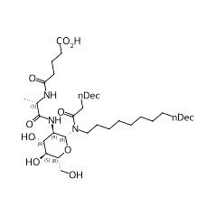 CCCCCCCCCCCCCCCCCCN(C(=O)CCCCCCCCCCC)[C@@H]1O[C@H](CO)[C@@H](O)[C@H](O)[C@H]1NC(=O)[C@H](C)NC(=O)CCCC(=O)O